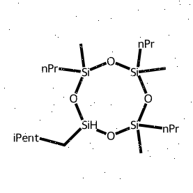 CCCC(C)C[SiH]1O[Si](C)(CCC)O[Si](C)(CCC)O[Si](C)(CCC)O1